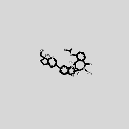 CN1C(=O)c2cccc(OC(F)F)c2[C@H]2C[C@@H]1c1nc3ccc(-c4cnc5c(c4)CC[C@@]5(N)CO)cc3n12